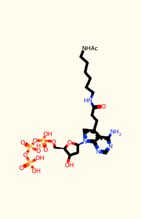 CC(=O)NCCCCCCNC(=O)CCc1cn([C@H]2CC(O)[C@@H](COP(=O)(O)OP(=O)(O)OP(=O)(O)O)O2)c2ncnc(N)c12